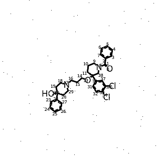 O=C(c1ccccc1)N1CCCC(OCCCN2CCC(O)(c3ccccc3)CC2)(c2ccc(Cl)c(Cl)c2)C1